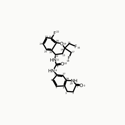 O=C1CCc2ccc(NC(=O)N[C@@H]3CC(CF)(CF)Oc4c(F)cccc43)cc2N1